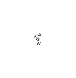 [Al].[Si].[W].[Zr]